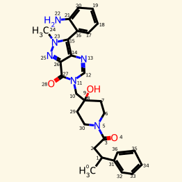 CC(CC(=O)N1CCC(O)(Cn2cnc3c(-c4ccccc4N)n(C)nc3c2=O)CC1)c1ccccc1